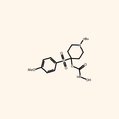 CCCCN1CCC(OC(=O)NO)(S(=O)(=O)c2ccc(OC)cc2)CC1